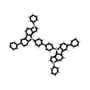 c1ccc(-c2ccc3c(c2)c2ccc4c(ccn4-c4ccccc4)c2n3-c2ccc(-c3ccc(-n4c5ccc(-c6ccccc6)cc5c5ccc6c(ccn6-c6ccccc6)c54)cc3)cc2)cc1